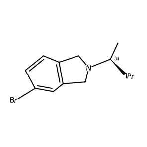 CC(C)[C@H](C)N1Cc2ccc(Br)cc2C1